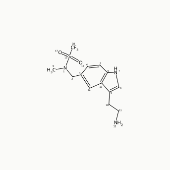 CN(Cc1ccc2[nH]cc(CCN)c2c1)S(=O)(=O)C(F)(F)F